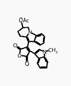 CC(=O)OC1CCc2c(C3=C(c4cn(C)c5ccccc45)C(=O)OC3=O)c3ccccc3n2C1